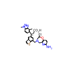 CC[C@@H]1CN(Cc2cc([C@H](CC(=O)O)c3ccc4c(nnn4C)c3C)cc3ccsc23)Cc2nc(N)ccc2O1